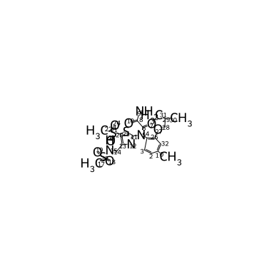 Cc1ccc(N(C(=O)C(N)=O)c2nc(CNS(C)(=O)=O)c(S(C)(=O)=O)s2)c(OCC(C)C)c1